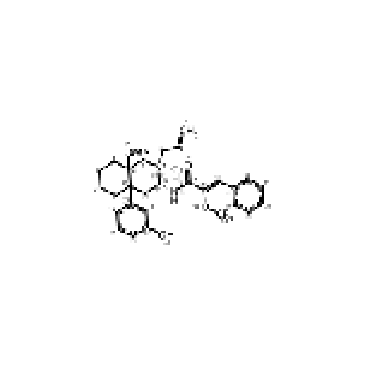 C=CC[N@+]1(C)CC2(OC)CCCCC2(c2cccc(O)c2)C[C@H]1NC(=O)C(=Cc1ccccc1)OC(F)(F)F